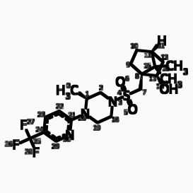 C[C@H]1CN(S(=O)(=O)C[C@]23CC[C@H](C[C@H]2O)C3(C)C)CCN1c1ccc(C(F)(F)F)cn1